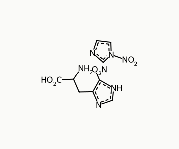 NC(Cc1nc[nH]c1[N+](=O)[O-])C(=O)O.O=[N+]([O-])n1ccnc1